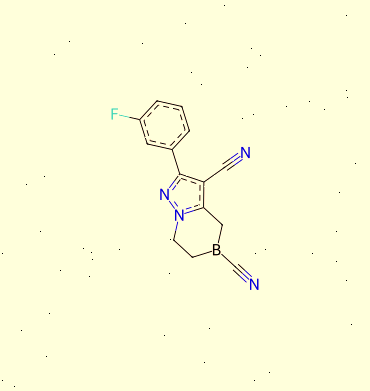 N#CB1CCn2nc(-c3cccc(F)c3)c(C#N)c2C1